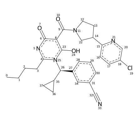 CCCCc1nc(=O)c(C(=O)N2CCC(c3ccc(Cl)cn3)C2)c(O)n1[C@@H](c1cccc(C#N)c1)C1CC1